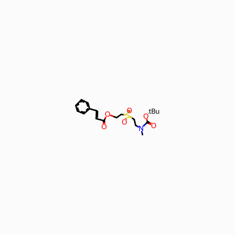 CN(CCS(=O)(=O)CCOC(=O)C=Cc1ccccc1)C(=O)OC(C)(C)C